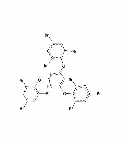 Brc1cc(Br)c(OC2=CC(Oc3c(Br)cc(Br)cc3Br)=NN(Oc3c(Br)cc(Br)cc3Br)N2)c(Br)c1